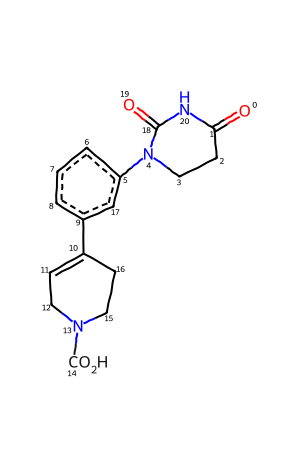 O=C1CCN(c2cccc(C3=CCN(C(=O)O)CC3)c2)C(=O)N1